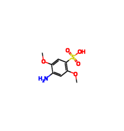 COc1cc(S(=O)(=O)O)c(OC)cc1N